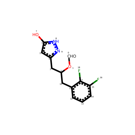 O=COC(Cc1cc(O)[nH]n1)Cc1cccc(F)c1F